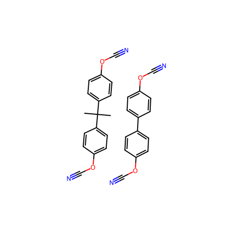 CC(C)(c1ccc(OC#N)cc1)c1ccc(OC#N)cc1.N#COc1ccc(-c2ccc(OC#N)cc2)cc1